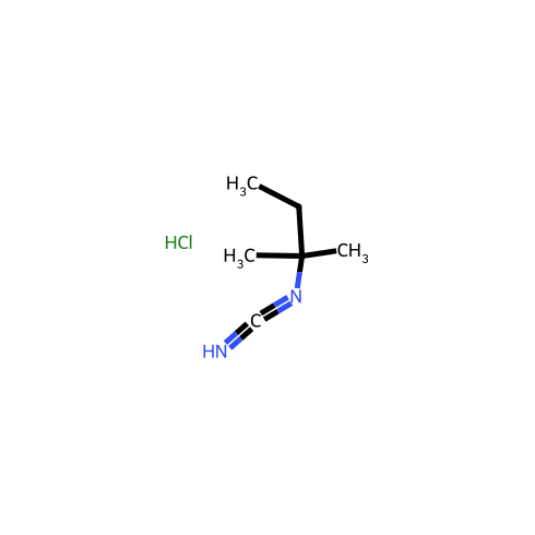 CCC(C)(C)N=C=N.Cl